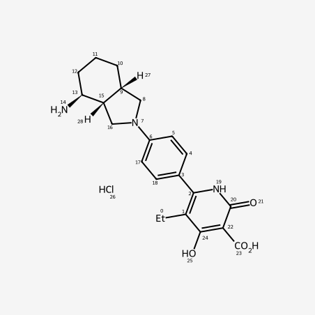 CCc1c(-c2ccc(N3C[C@H]4CCC[C@H](N)[C@H]4C3)cc2)[nH]c(=O)c(C(=O)O)c1O.Cl